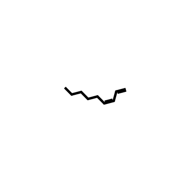 C=C/C=C\CCCCC